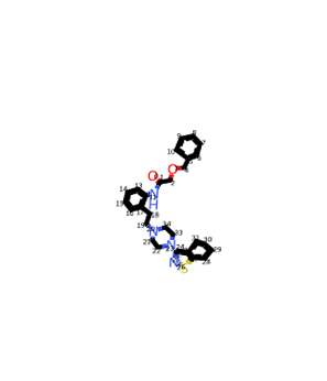 O=C(COCc1ccccc1)Nc1ccccc1CCN1CCN(c2nsc3ccccc23)CC1